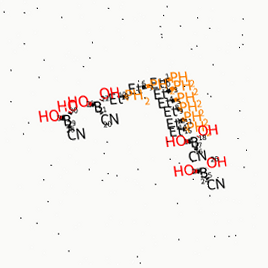 CCP.CCP.CCP.CCP.CCP.CCP.CCP.CCP.N#CB(O)O.N#CB(O)O.N#CB(O)O.N#CB(O)O